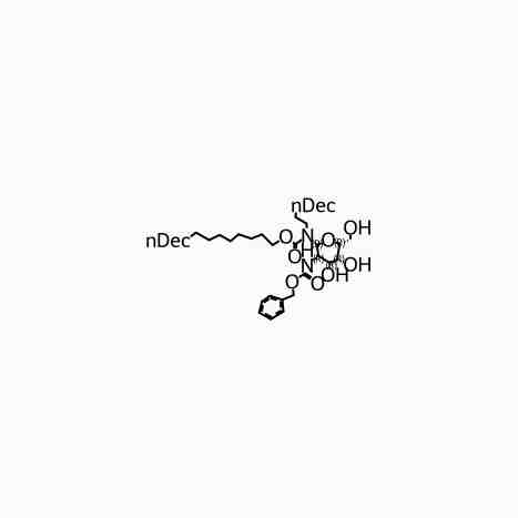 CCCCCCCCCCCCCCCCCCOC(=O)N(CCCCCCCCCCCC)[C@@H]1O[C@H](CO)[C@H](O)[C@H](O)[C@H]1NC(=O)OCc1ccccc1